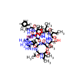 CCC[C@@H]1NC(=O)[C@H](CCCNC(=N)N)NC(=O)[C@H](NC(=O)[C@H](CO)NC(=O)[C@@H](NC(=O)[C@H](NC(=O)[C@@H](CCC(=O)O)NC(=O)[C@H](CCCNC(=N)N)NC(=O)[C@@H](NC(=O)[C@@H](Cc2ccccc2)NC)[C@@H](C)CC)[C@H](C)CC)[C@@H](C)CC)[C@H](C)OC(=O)[C@H]([C@@H](C)CC)NC1=O